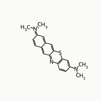 CN(C)c1ccc2nc3cc4ccc(=[N+](C)C)cc4cc3sc2c1